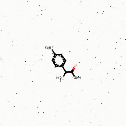 COC(=O)C(C)c1ccc(C=O)cc1